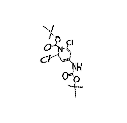 CC(C)(C)OC(=O)NC1=CC(Cl)N(C(=O)OC(C)(C)C)C(Cl)=C1